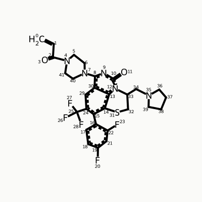 C=CC(=O)N1CCN(c2nc(=O)n3c4c(c(-c5ccc(F)cc5F)c(C(F)(F)F)cc24)SCC3CN2CCCC2)CC1